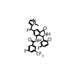 Cn1nccc1C(F)c1cc(NC(=O)c2cc(F)cc(C(F)(F)F)c2)c2c(c1)C(=O)NC2c1cc(F)ccc1Cl